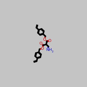 C=Cc1ccc(COC(=O)C(CN)C(=O)OCc2ccc(C=C)cc2)cc1